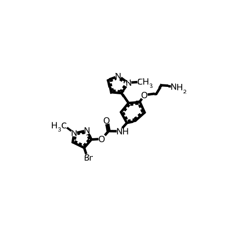 Cn1cc(Br)c(OC(=O)Nc2ccc(OCCN)c(-c3ccnn3C)c2)n1